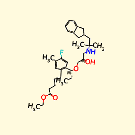 CCOC(=O)CCCCc1cc(C)c(F)cc1[C@@H](CC)OC[C@H](O)CNC(C)(C)CC1Cc2ccccc2C1